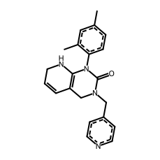 Cc1ccc(N2C(=O)N(Cc3ccncc3)CC3=C2NCC=C3)c(C)c1